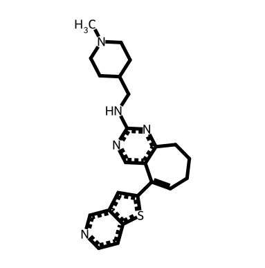 CN1CCC(CNc2ncc3c(n2)CCCC=C3c2cc3cnccc3s2)CC1